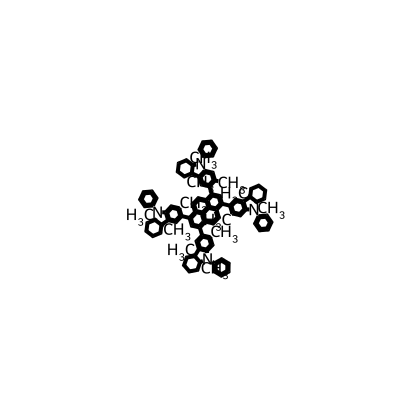 Cc1cc2c(cc1-c1cc(-c3cc4c(cc3C)N(c3ccccc3)C3(C)CCCCC43C)c3ccc4c(-c5cc6c(cc5C)N(c5ccccc5)C5(C)CCCCC65C)cc(-c5cc6c(cc5C)N(c5ccccc5)C5(C)CCCCC65C)c5ccc1c3c54)C1(C)CCCCC1(C)N2c1ccccc1